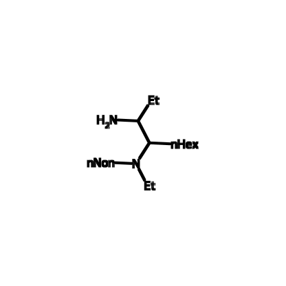 CCCCCCCCCN(CC)C(CCCCCC)C(N)CC